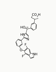 CC(CC(=O)O)c1cccc([C@H](O)c2cnc(-c3cccc(Oc4c(F)cc5[nH]ccc5c4F)c3)[nH]2)c1